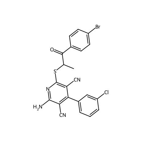 CC(Sc1nc(N)c(C#N)c(-c2cccc(Cl)c2)c1C#N)C(=O)c1ccc(Br)cc1